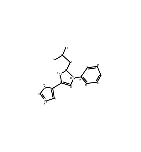 CC(C)CC1OC(c2cncs2)=[C]N1c1ccccc1